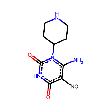 Nc1c(N=O)c(=O)[nH]c(=O)n1C1CCNCC1